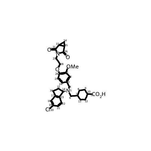 COc1cc(CN(CC2CCC(C(=O)O)CC2)[C@H]2CCc3cc(Cl)ccc32)ccc1OCCN1C(=O)C2CC2C1=O